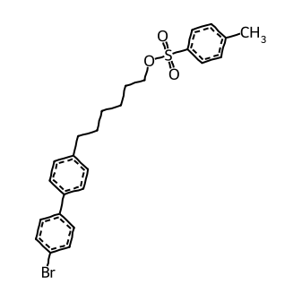 Cc1ccc(S(=O)(=O)OCCCCCCc2ccc(-c3ccc(Br)cc3)cc2)cc1